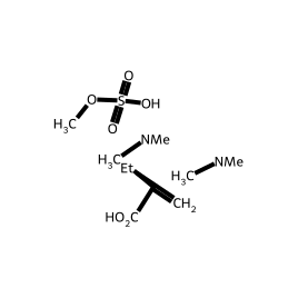 C=C(CC)C(=O)O.CNC.CNC.COS(=O)(=O)O